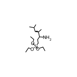 CCO[Si](CCC(N)C(C)=CC(C)C)(OCC)OCC